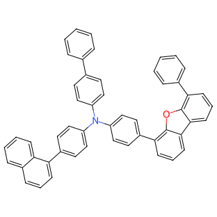 c1ccc(-c2ccc(N(c3ccc(-c4cccc5ccccc45)cc3)c3ccc(-c4cccc5c4oc4c(-c6ccccc6)cccc45)cc3)cc2)cc1